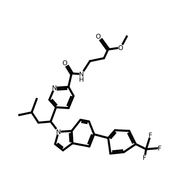 COC(=O)CCNC(=O)c1ccc(C(CC(C)C)n2ccc3cc(-c4ccc(C(F)(F)F)cc4)ccc32)cn1